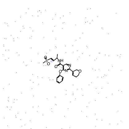 CC(/C=C/S(C)(=O)=O)NC(=O)c1cnc(C2=CCCOC2)nc1Oc1ccccc1